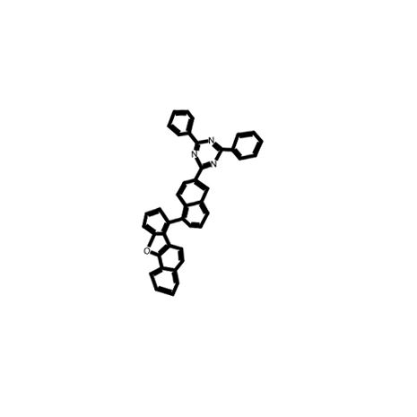 c1ccc(-c2nc(-c3ccccc3)nc(-c3ccc4c(-c5cccc6oc7c8ccccc8ccc7c56)cccc4c3)n2)cc1